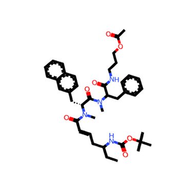 CCC(C/C=C/C(=O)N(C)[C@H](Cc1ccc2ccccc2c1)C(=O)N(C)C(Cc1ccccc1)C(=O)NCCCOC(C)=O)NC(=O)OC(C)(C)C